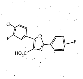 O=C(O)c1nc(-c2ccc(F)cc2)oc1-c1ccc(Cl)c(F)c1